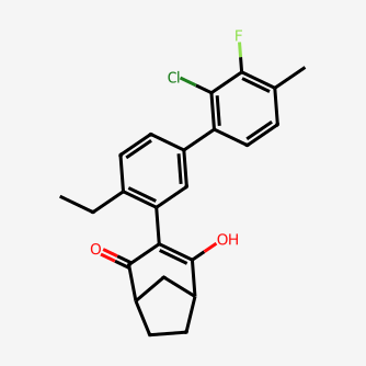 CCc1ccc(-c2ccc(C)c(F)c2Cl)cc1C1=C(O)C2CCC(C2)C1=O